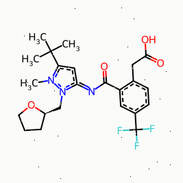 Cn1c(C(C)(C)C)c/c(=N\C(=O)c2cc(C(F)(F)F)ccc2CC(=O)O)n1C[C@H]1CCCO1